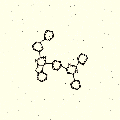 c1ccc(-c2cccc(-c3nc(-c4ccc(-c5cc(-c6ccccc6)nc(-c6ccccc6)n5)cc4)c4c(n3)sc3ccccc34)c2)cc1